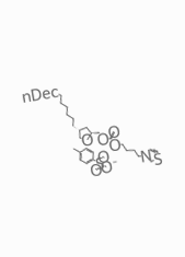 CCCCCCCCCCCCCCCC[C@H]1CO[C@H](COC(=O)OCCCC[n+]2ccsc2)C1.Cc1ccc(S(=O)(=O)[O-])cc1